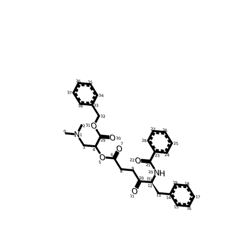 CN(C)CC(OC(=O)CCC(=O)[C@H](Cc1ccccc1)NC(=O)c1ccccc1)C(=O)OCc1ccccc1